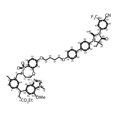 CCOC(=O)CC(c1ccc(C)c(CN2C[C@@H](C)Oc3cc(OCCCCOc4ccc(-c5ccc(N6C(=S)N(c7ccc(C#N)c(C(F)(F)F)c7)C(=O)C6(C)C)cc5)cc4)ccc3S2(=O)=O)c1)c1cc(OC)c2c(c1)nnn2C